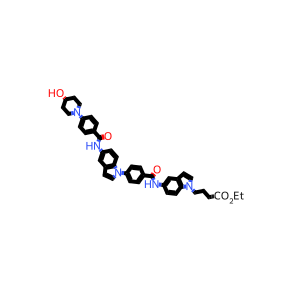 CCOC(=O)CCCn1ccc2cc(NC(=O)c3ccc(-n4ccc5cc(NC(=O)c6ccc(N7CCC(O)CC7)cc6)ccc54)cc3)ccc21